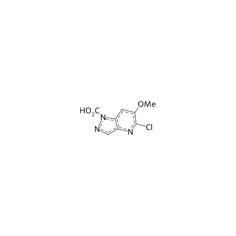 COc1cc2c(cnn2C(=O)O)nc1Cl